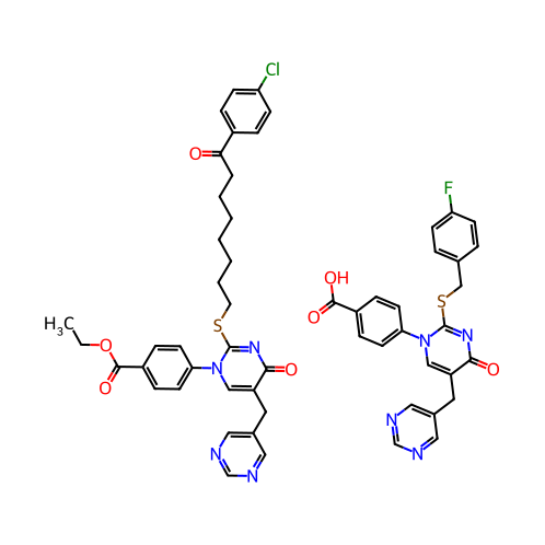 CCOC(=O)c1ccc(-n2cc(Cc3cncnc3)c(=O)nc2SCCCCCCCC(=O)c2ccc(Cl)cc2)cc1.O=C(O)c1ccc(-n2cc(Cc3cncnc3)c(=O)nc2SCc2ccc(F)cc2)cc1